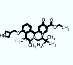 CCOC(=O)c1cn2c(cc1=O)/C(=c1\cccc(OCC3CNC3)\c1=C(/C)CC)N(C)CC2C(C)(C)C